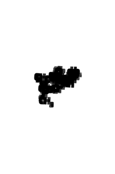 CCCCOP(=O)(COc1ccc(C[C@H](NC(=O)O[C@H]2CO[C@H]3OCC[C@H]32)[C@H](O)CN(CC(C)C)S(=O)(=O)c2ccccc2)cc1)OCCCC